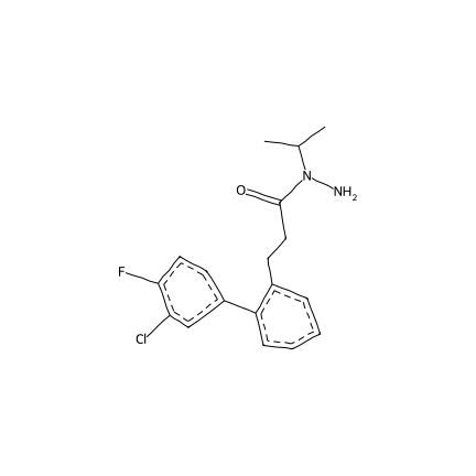 CC(C)N(N)C(=O)CCc1ccccc1-c1ccc(F)c(Cl)c1